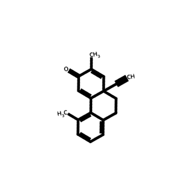 C#CC12C=C(C)C(=O)C=C1c1c(C)cccc1CC2